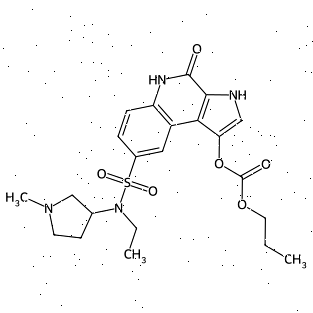 CCCOC(=O)Oc1c[nH]c2c(=O)[nH]c3ccc(S(=O)(=O)N(CC)C4CCN(C)C4)cc3c12